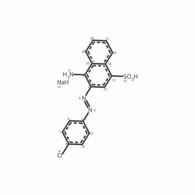 Nc1c(N=Nc2ccc(Cl)cc2)cc(S(=O)(=O)O)c2ccccc12.[NaH]